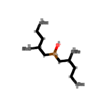 CCCCCCCCCCCCC(C[S+]([O-])CC(CCCCCCCCCCCC)OC)OC